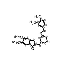 COc1cc2c(cc1OC)C(=O)N(CC1CCCN(CCc3ccc(C)c(C)c3)C1)C2